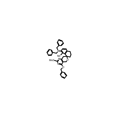 CSc1nc2c(c(OCc3ccccc3)n1)COC1(CCCc3ccc(N(Cc4ccccc4)Cc4ccccc4)c(C#N)c31)C2